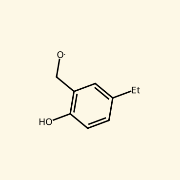 CCc1ccc(O)c(C[O])c1